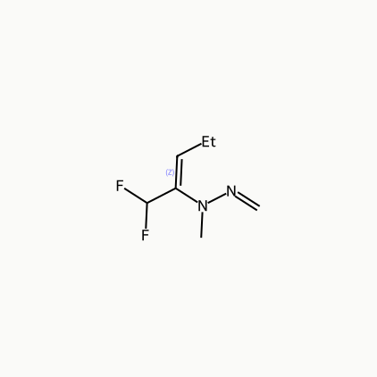 C=NN(C)/C(=C\CC)C(F)F